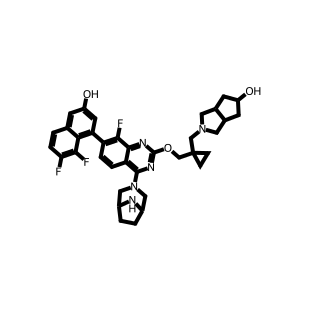 Oc1cc(-c2ccc3c(N4CC5CCC(C4)N5)nc(OCC4(CN5CC6CC(O)CC6C5)CC4)nc3c2F)c2c(F)c(F)ccc2c1